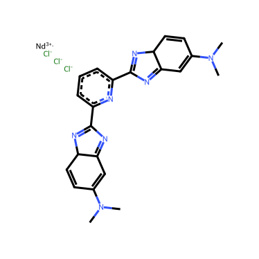 CN(C)C1=CC2=NC(c3cccc(C4=NC5C=CC(N(C)C)=CC5=N4)n3)=NC2C=C1.[Cl-].[Cl-].[Cl-].[Nd+3]